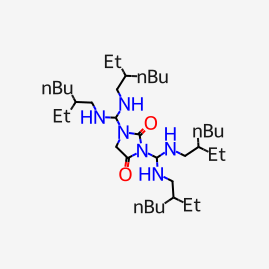 CCCCC(CC)CNC(NCC(CC)CCCC)N1CC(=O)N(C(NCC(CC)CCCC)NCC(CC)CCCC)C1=O